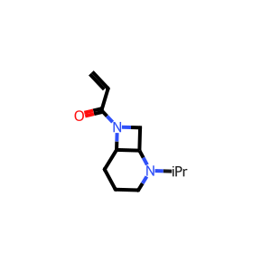 C=CC(=O)N1CC2C1CCCN2C(C)C